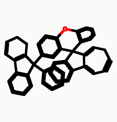 C1#CCC=C2C(=C1)c1ccccc1C21c2ccccc2Oc2ccc(C3(c4ccccc4)C4=C(C=CCC4)c4ccccc43)cc21